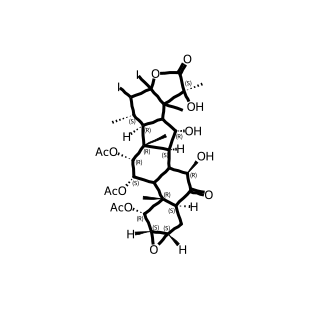 CC(=O)O[C@H]1C2C([C@@H]3[C@@H](O)C4[C@H]([C@H](C)C(I)C5(I)OC(=O)[C@@](C)(O)C45C)[C@@]3(C)[C@H]1OC(C)=O)[C@@H](O)C(=O)[C@H]1C[C@@H]3O[C@@H]3[C@H](OC(C)=O)[C@]21C